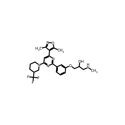 CNCC(O)COc1cccc(-c2nc(-c3c(C)noc3C)cc(N3CCCC(C(F)(F)F)C3)n2)c1